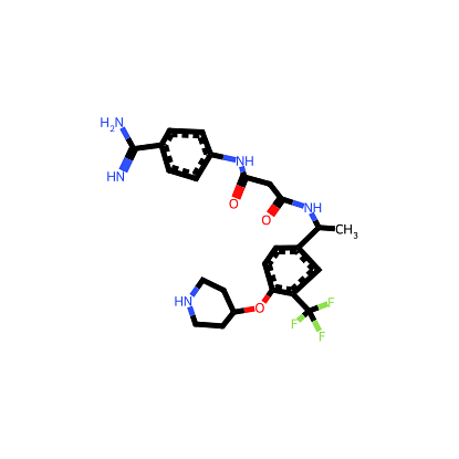 CC(NC(=O)CC(=O)Nc1ccc(C(=N)N)cc1)c1ccc(OC2CCNCC2)c(C(F)(F)F)c1